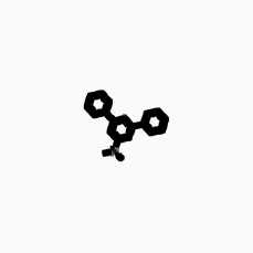 CN(C)c1cc(-c2ccccc2)[c]c(-c2ccccc2)c1